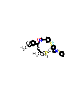 CC(C)Cc1cccc(C2CCCC(C)(C)CSCCc3c(c(F)cc4c3ccn4Sc3ccccc3)Sc3cccc(c3)-c3coc2n3)c1